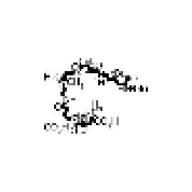 CC(C)(C)N[C@@H](CCCCNC(=O)CCC(C)(C)OCCC(C)(C)OCCNC(=O)CC[C@H](NC(=O)C(C)(C)CC(C)(C)C(=O)O)C(=O)O)C(=O)C(C)(C)C